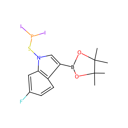 CC1(C)OB(c2cn(SP(I)I)c3cc(F)ccc23)OC1(C)C